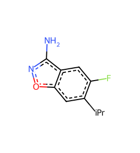 CC(C)c1cc2onc(N)c2cc1F